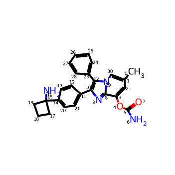 Cc1cc(OC(N)=O)c2nc(-c3ccc(C4(N)CCC4)cc3)c(-c3ccccc3)n2c1